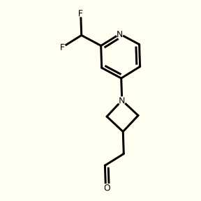 O=CCC1CN(c2ccnc(C(F)F)c2)C1